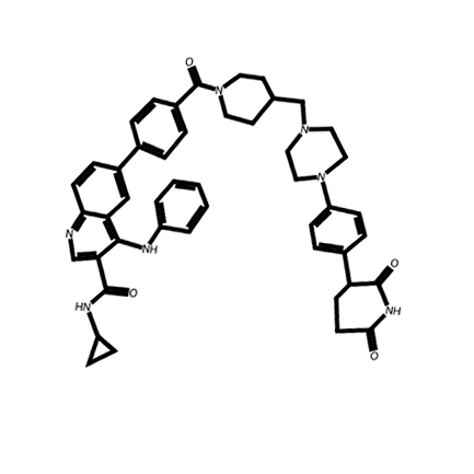 O=C1CCC(c2ccc(N3CCN(CC4CCN(C(=O)c5ccc(-c6ccc7ncc(C(=O)NC8CC8)c(Nc8ccccc8)c7c6)cc5)CC4)CC3)cc2)C(=O)N1